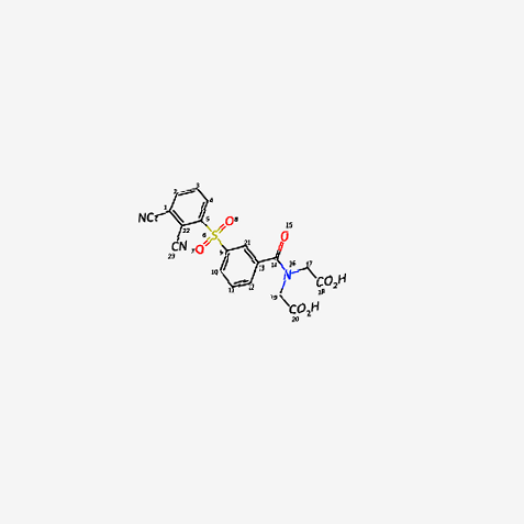 N#Cc1cccc(S(=O)(=O)c2cccc(C(=O)N(CC(=O)O)CC(=O)O)c2)c1C#N